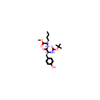 CCCC[C@@H](NC(=O)[C@H](Cc1ccc(O)cc1)NC(=O)OC(C)(C)C)C(=O)OC